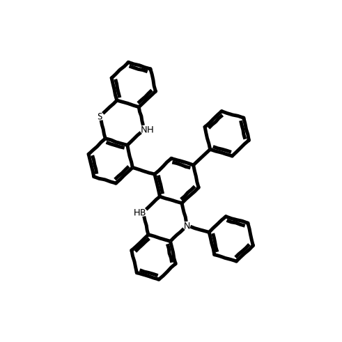 B1c2ccccc2N(c2ccccc2)c2cc(-c3ccccc3)cc(-c3cccc4c3Nc3ccccc3S4)c21